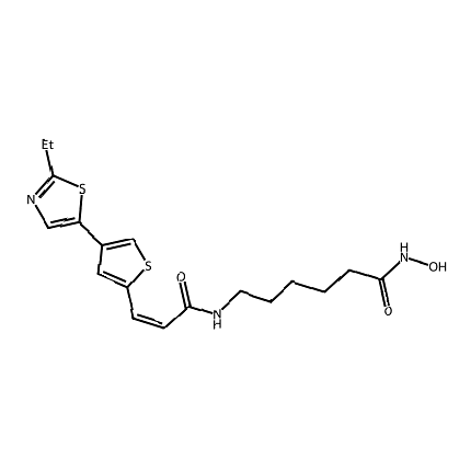 CCc1ncc(-c2csc(/C=C\C(=O)NCCCCCC(=O)NO)c2)s1